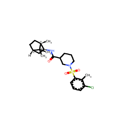 Cc1c(Cl)cccc1S(=O)(=O)N1CCCC(C(=O)N[C@H]2C[C@@H]3CC[C@@]2(C)C3(C)C)C1